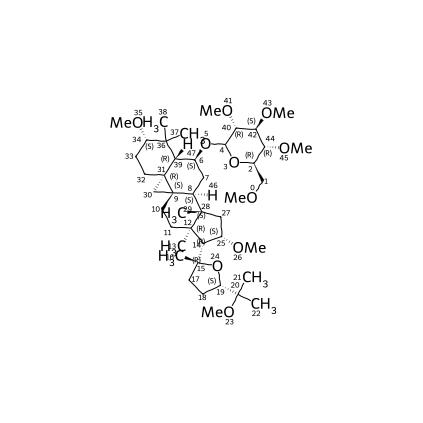 COC[C@H]1OC(O[C@H]2C[C@@H]3[C@]4(CC[C@]5(C)[C@@H]([C@@]6(C)CC[C@@H](C(C)(C)OC)O6)[C@@H](OC)C[C@@]35C)C[C@@]43CC[C@H](OC)C(C)(C)[C@H]23)[C@H](OC)[C@@H](OC)[C@@H]1OC